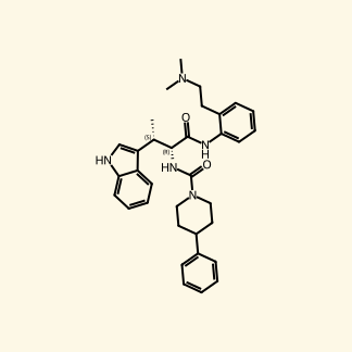 C[C@@H](c1c[nH]c2ccccc12)[C@@H](NC(=O)N1CCC(c2ccccc2)CC1)C(=O)Nc1ccccc1CCN(C)C